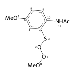 COOOSc1cc(OC)ccc1NC(C)=O